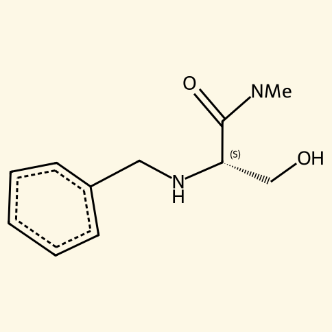 CNC(=O)[C@H](CO)NCc1ccccc1